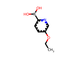 CCOc1ccc(B(O)O)nc1